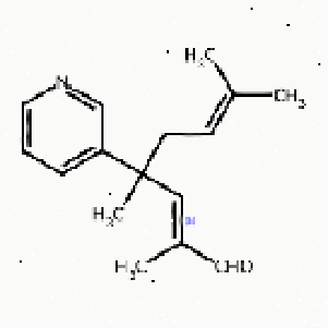 CC(C)=CCC(C)(/C=C(\C)C=O)c1cccnc1